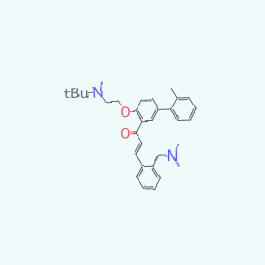 Cc1ccccc1-c1ccc(OCCN(C)C(C)(C)C)c(C(=O)/C=C/c2ccccc2CN(C)C)c1